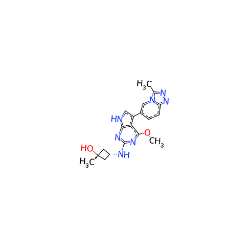 COc1nc(N[C@H]2C[C@@](C)(O)C2)nc2[nH]cc(-c3ccc4nnc(C)n4c3)c12